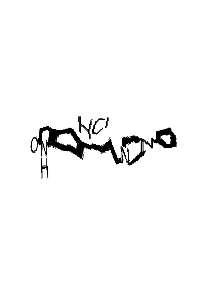 Cl.O=c1ccc2cc(CCCCN3CCN(c4ccccc4)CC3)ccc2[nH]1